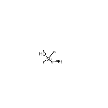 [CH2]CC[Si](C)(C)O